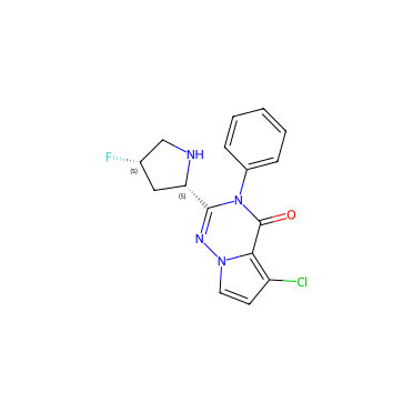 O=c1c2c(Cl)ccn2nc([C@@H]2C[C@H](F)CN2)n1-c1ccccc1